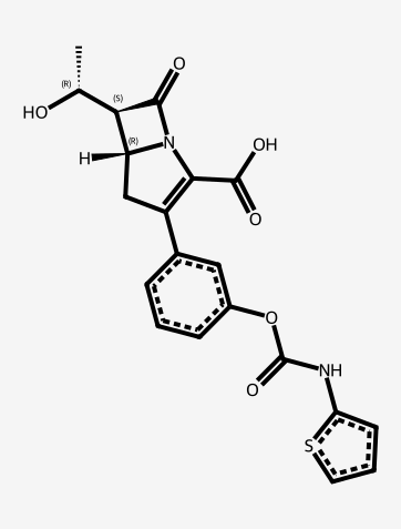 C[C@@H](O)[C@H]1C(=O)N2C(C(=O)O)=C(c3cccc(OC(=O)Nc4cccs4)c3)C[C@H]12